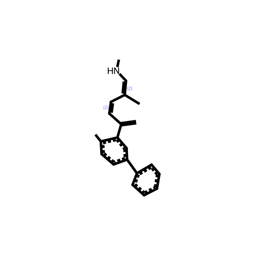 C=C(/C=C\C(C)=C/NC)c1cc(-c2ccccc2)ccc1C